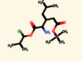 CC(C)CC(CC(=O)O[Si](C)(C)C)C(N)C(=O)OC(Cl)C(C)C